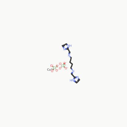 C(=NCCCCN=Cc1ncc[nH]1)c1ncc[nH]1.[Cu+2].[O-][Cl+3]([O-])([O-])[O-].[O-][Cl+3]([O-])([O-])[O-]